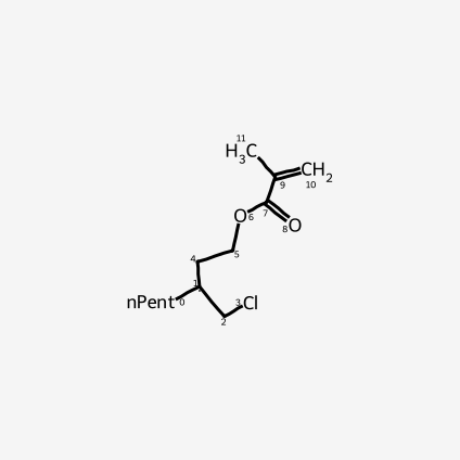 [CH2]CCCC[C](CCl)CCOC(=O)C(=C)C